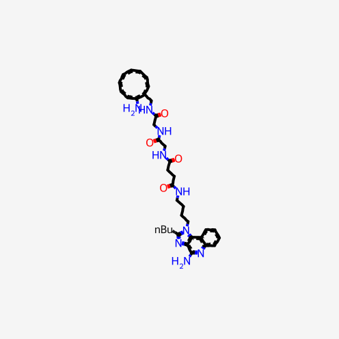 CCCCc1nc2c(N)nc3ccccc3c2n1CCCCNC(=O)CCC(=O)NCC(=O)NCC(=O)NCc1ccccccccc1N